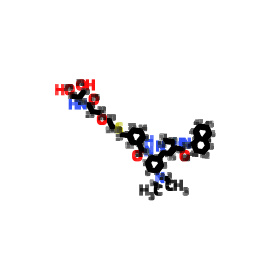 CCN(CC)c1ccc(NC(=O)c2cccc(CSCCOCCC(=O)NC(CO)CO)c2)c(-c2cc(C(=O)NC3CCCc4ccccc43)ccn2)c1